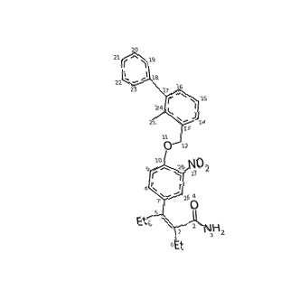 CCC(C(N)=O)=C(CC)c1ccc(OCc2cccc(-c3ccccc3)c2C)c([N+](=O)[O-])c1